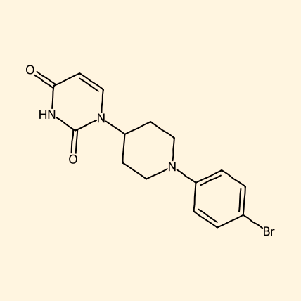 O=c1ccn(C2CCN(c3ccc(Br)cc3)CC2)c(=O)[nH]1